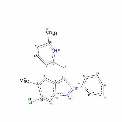 COc1cc2c(Cc3cccc(C(=O)O)n3)c(-c3ccccc3)[nH]c2cc1Cl